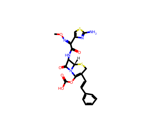 CON=C(C(=O)NC1C(=O)N2C(OC(=O)O)=C(C=Cc3ccccc3)CS[C@@H]12)c1csc(N)n1